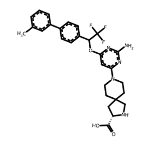 Cc1cccc(-c2ccc(C(Oc3cc(N4CCC5(CC4)CN[C@H](C(=O)O)C5)nc(N)n3)C(F)(F)F)cc2)c1